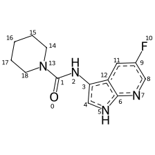 O=C(Nc1c[nH]c2ncc(F)cc12)N1CCCCC1